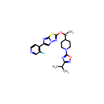 CC(C)c1noc(N2CCC([C@H](C)Oc3nn4cc(-c5ccncc5F)nc4s3)CC2)n1